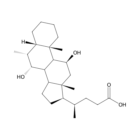 C[C@H]1[C@@H](O)C2C3CC[C@H]([C@H](C)CCC(=O)O)[C@@]3(C)C[C@H](O)C2[C@@]2(C)CCCC[C@@H]12